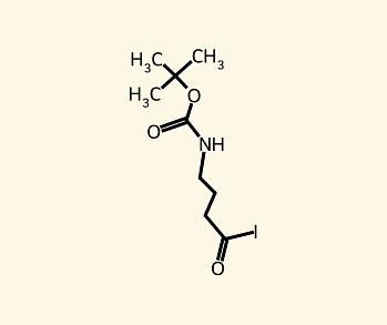 CC(C)(C)OC(=O)NCCCC(=O)I